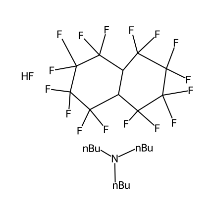 CCCCN(CCCC)CCCC.F.FC1(F)C2C(C(F)(F)C(F)(F)C1(F)F)C(F)(F)C(F)(F)C(F)(F)C2(F)F